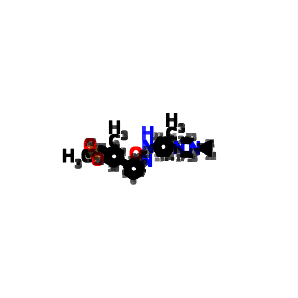 Cc1cc(-c2cccc3nc(Nc4ccc(N5CCN(C6CC6)CC5)c(C)c4)oc23)ccc1CS(C)(=O)=O